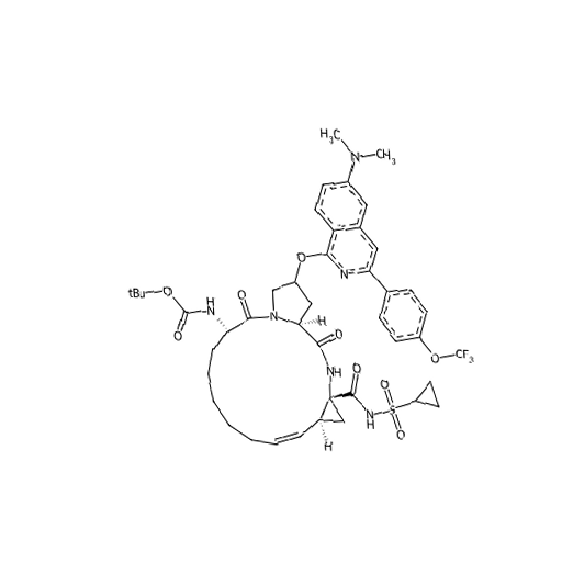 CN(C)c1ccc2c(OC3C[C@H]4C(=O)N[C@]5(C(=O)NS(=O)(=O)C6CC6)C[C@H]5/C=C\CCCCC[C@H](NC(=O)OC(C)(C)C)C(=O)N4C3)nc(-c3ccc(OC(F)(F)F)cc3)cc2c1